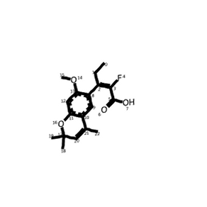 CC/C(=C(\F)C(=O)O)c1cc2c(cc1OC)OC(C)(C)C=C2C